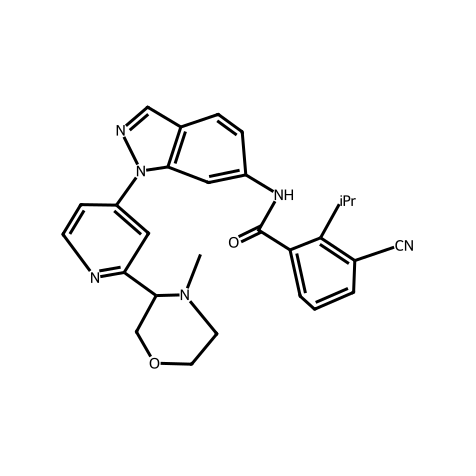 CC(C)c1c(C#N)cccc1C(=O)Nc1ccc2cnn(-c3ccnc(C4COCCN4C)c3)c2c1